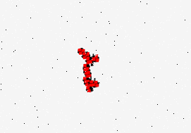 c1ccc(-c2ccc(-c3cc(-c4ccc5cc6cc(-c7ccc8ccc9c(-c%10ccccc%10)c%10ccccc%10nc9c8n7)ccc6cc5c4)nc(-c4ccccc4)n3)cc2)cc1